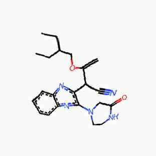 C=C(OCC(CC)CC)C(C#N)c1nc2ccccc2nc1N1CCNC(=O)C1